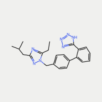 CCc1nc(CC(C)C)nn1Cc1ccc(-c2ccccc2-c2nnn[nH]2)cc1